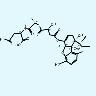 Cc1ccc(O)c2c1[C@]13CCN(C)[C@H](C)[C@]1(O)CC=C(OC(=O)C[C@H](O)C(=O)O[C@@H](C)C(=O)N[C@H](CC(=O)O)C(=O)O)[C@@H]3O2